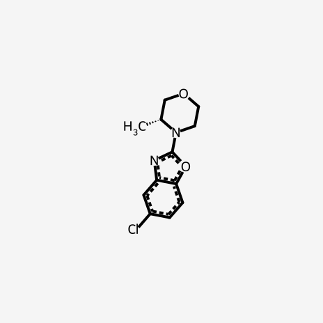 C[C@@H]1COCCN1c1nc2cc(Cl)ccc2o1